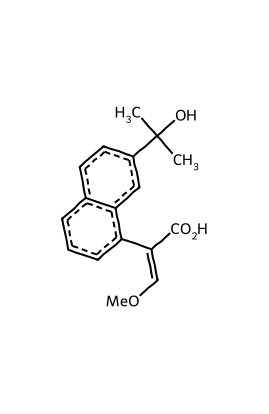 CO/C=C(/C(=O)O)c1cccc2ccc(C(C)(C)O)cc12